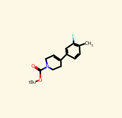 Cc1ccc(C2=CCN(C(=O)OC(C)(C)C)CC2)cc1F